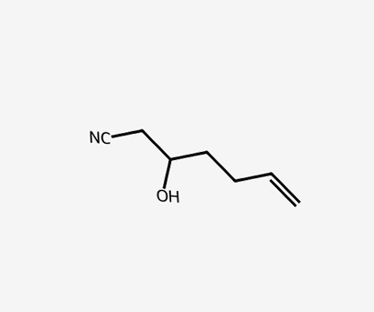 C=CCCC(O)CC#N